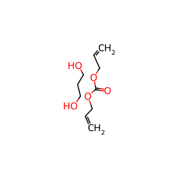 C=CCOC(=O)OCC=C.OCCCO